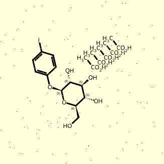 CC(=O)O.CC(=O)O.CC(=O)O.CC(=O)O.CC(=O)O.OC[C@H]1O[C@@H](Oc2ccc(I)cc2)[C@H](O)[C@@H](O)[C@@H]1O